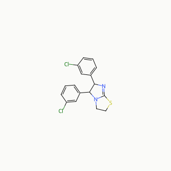 Clc1cccc(C2N=C3SCCN3C2c2cccc(Cl)c2)c1